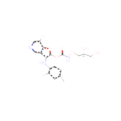 O=C(NOC[C@H](O)CO)Oc1oc2c(Cl)cncc2c1Nc1ccc(I)cc1F